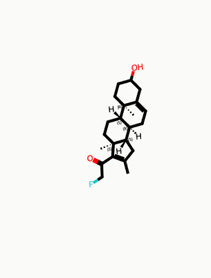 CC1=C(C(=O)CF)[C@@]2(C)CC[C@H]3[C@@H](CC=C4CC(O)CC[C@@]43C)[C@@H]2C1